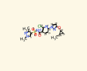 Cc1nn(C)cc1S(=O)(=O)NC(=O)c1ccc(-n2ccc(O[C@@H]3C[C@@H]3C)n2)nc1Cl